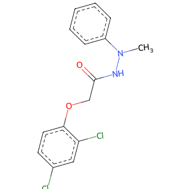 CN(NC(=O)COc1ccc(Cl)cc1Cl)c1ccccc1